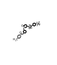 CN1CCN(C(=O)Cc2cccc(Cn3cc(-c4nc(-c5ccc(OC(F)(F)F)cc5)no4)ccc3=O)c2)CC1